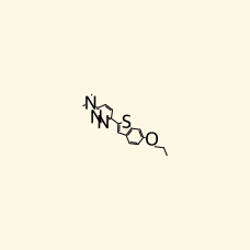 CCCOc1ccc2cc(-c3ccc(N(C)C)nn3)sc2c1